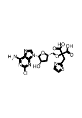 Nc1nc(Cl)nc2c1ncn2[C@@H]1O[C@H](COC(Cc2nccs2)(C(=O)O)C(=O)O)C[C@H]1O